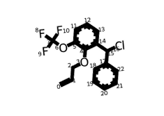 C=CCOc1c(OC(F)(F)F)cccc1C(Cl)c1ccccc1